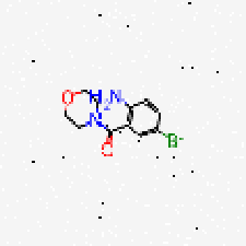 Nc1ccc(Br)cc1C(=O)N1CCOCC1